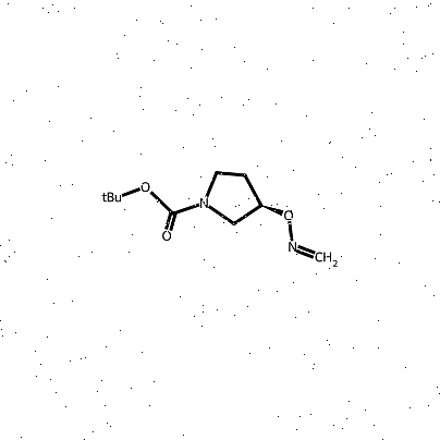 C=NO[C@@H]1CCN(C(=O)OC(C)(C)C)C1